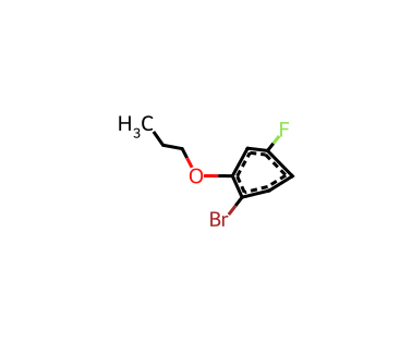 CCCOc1cc(F)ccc1Br